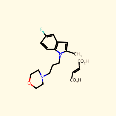 Cc1cc2cc(F)ccc2n1CCCN1CCOCC1.O=C(O)C=CC(=O)O